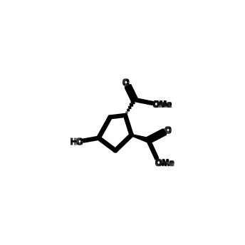 COC(=O)[C@H]1CC(O)C[C@@H]1C(=O)OC